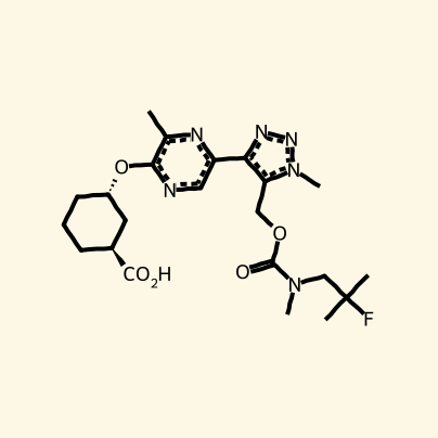 Cc1nc(-c2nnn(C)c2COC(=O)N(C)CC(C)(C)F)cnc1O[C@H]1CCC[C@H](C(=O)O)C1